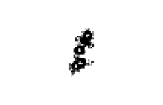 Cc1ncc2c(O[C@H]3CC[C@@H](N4C(=O)c5ccccc5C4=O)CC3)cc(Br)cc2n1